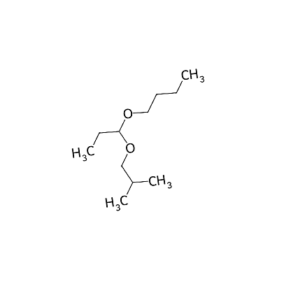 CCCCOC(CC)OCC(C)C